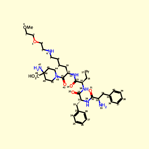 COCCOCCNCCCC[C@@H](NC(=O)[C@@H](CC(C)C)NC(=O)[C@@H](Cc1ccccc1)NC(=O)[C@H](N)Cc1ccccc1)C(=O)N1CCC(N)(C(=O)O)CC1